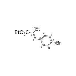 CCOC(=O)C(=Cc1ccc(Br)cc1)CC